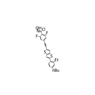 CCCCc1ccc(-c2cc3sc(C#Cc4cc(F)c(/C(Cl)=N/O)c(F)c4)cc3s2)c(CC)c1